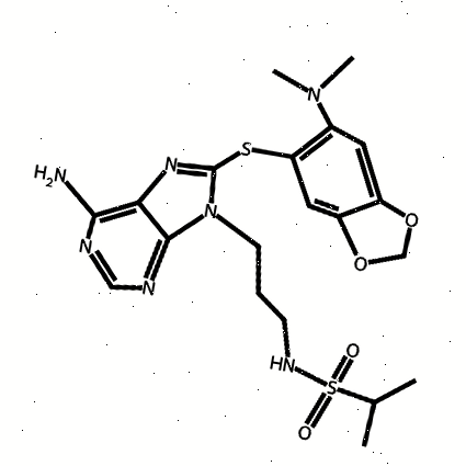 CC(C)S(=O)(=O)NCCCn1c(Sc2cc3c(cc2N(C)C)OCO3)nc2c(N)ncnc21